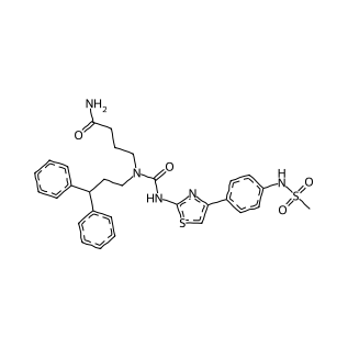 CS(=O)(=O)Nc1ccc(-c2csc(NC(=O)N(CCCC(N)=O)CCC(c3ccccc3)c3ccccc3)n2)cc1